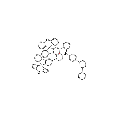 c1ccc(-c2cccc(-c3ccc(N(c4ccc(-c5ccc6c(c5)-c5ccccc5C65c6ccccc6Oc6ccccc65)cc4)c4ccccc4-c4ccc5c(c4)C4(c6ccccc6Oc6ccccc64)c4ccccc4-5)cc3)c2)cc1